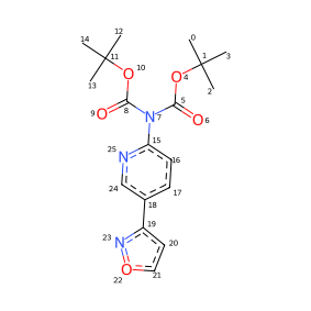 CC(C)(C)OC(=O)N(C(=O)OC(C)(C)C)c1ccc(-c2ccon2)cn1